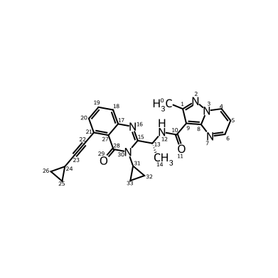 Cc1nn2cccnc2c1C(=O)N[C@H](C)c1nc2cccc(C#CC3CC3)c2c(=O)n1C1CC1